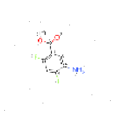 CC(C)OC(=O)c1cc(N)c(F)cc1F